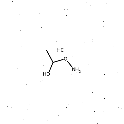 CC(O)ON.Cl